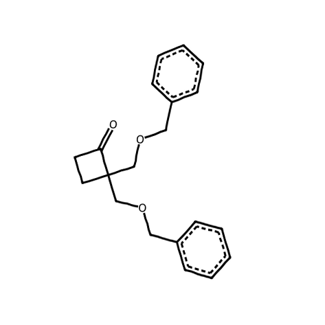 O=C1CCC1(COCc1ccccc1)COCc1ccccc1